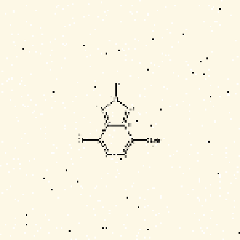 COc1ccc(Cl)c2nn(C)cc12